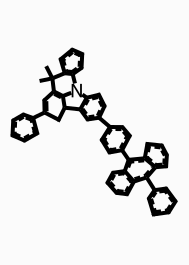 CC1(C)C2=C3C(CC(c4ccccc4)=C2)c2cc(-c4ccc(-c5c6ccccc6c(-c6ccccc6)c6ccccc56)cc4)ccc2N3c2ccccc21